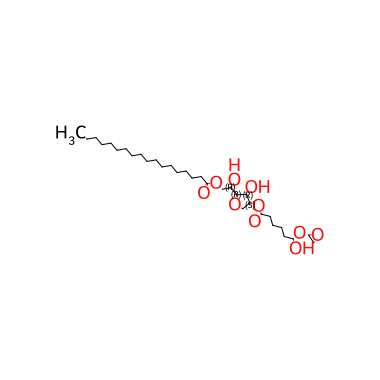 C1CO1.CCCCCCCCCCCCCCCCCC(=O)OC[C@@H](O)[C@H]1OC[C@H](OC(=O)CCCCC(=O)O)[C@H]1O